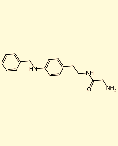 NCC(=O)NCCc1ccc(NCc2ccccc2)cc1